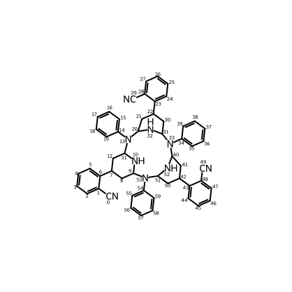 N#Cc1ccccc1C1CC2NC(C1)N(c1ccccc1)C1CC(c3ccccc3C#N)CC(N1)N(c1ccccc1)C1CC(c3ccccc3C#N)CC(N1)N2c1ccccc1